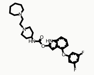 O=C(NC1CCN(CCN2CCCCCC2)CC1)Oc1cc2c(Oc3cc(F)cc(F)c3)cccc2[nH]1